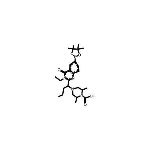 CCCC(c1nc2ccc(B3OC(C)(C)C(C)(C)O3)cc2c(=O)n1CC)N1CC(C)N(C(=O)O)C(C)C1